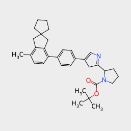 Cc1ccc(-c2ccc(C3=CN=C(C4CCCN4C(=O)OC(C)(C)C)C3)cc2)c2c1CC1(CCCC1)C2